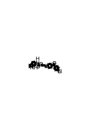 O=C(Nc1ccc2c(c1)NCC2)OCCCN1CCC(C(=O)c2ccc(Cl)cc2)CC1